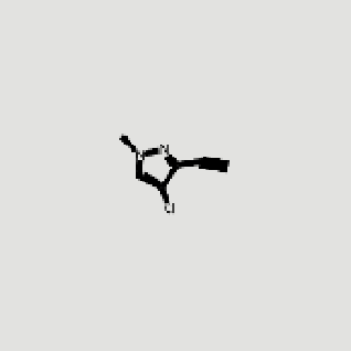 C#Cc1nn(C)cc1Cl